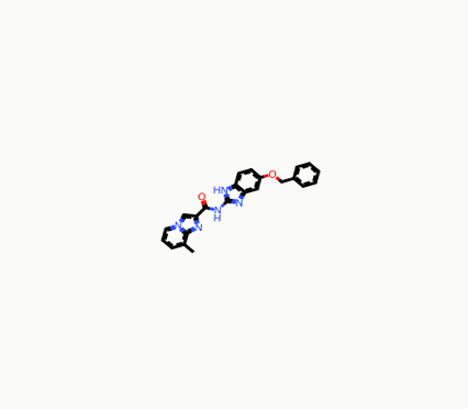 Cc1cccn2cc(C(=O)Nc3nc4cc(OCc5ccccc5)ccc4[nH]3)nc12